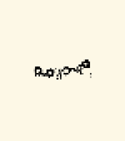 CN(CCC1CCN(C(=O)Oc2ccc(Cc3ccccn3)cc2)CC1)Cc1ccccc1